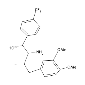 COc1ccc(CC(C)[C@@H](N)[C@H](O)c2ccc(C(F)(F)F)cc2)cc1OC